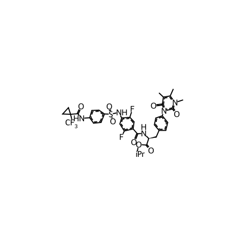 Cc1c(C)n(C)c(=O)n(-c2ccc(C[C@H](NC(=O)c3cc(F)c(NS(=O)(=O)c4ccc(NC(=O)C5(C(F)(F)F)CC5)cc4)cc3F)C(=O)OC(C)C)cc2)c1=O